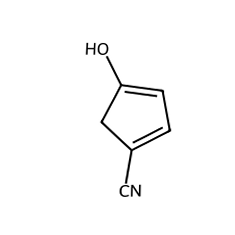 N#CC1=CC=C(O)C1